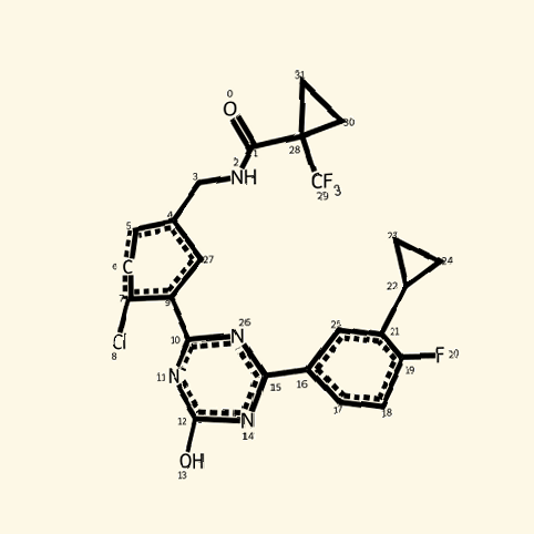 O=C(NCc1ccc(Cl)c(-c2nc(O)nc(-c3ccc(F)c(C4CC4)c3)n2)c1)C1(C(F)(F)F)CC1